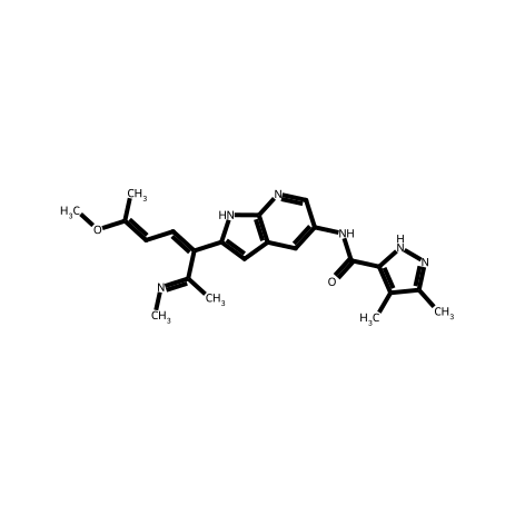 C/N=C(C)/C(=C\C=C(/C)OC)c1cc2cc(NC(=O)c3[nH]nc(C)c3C)cnc2[nH]1